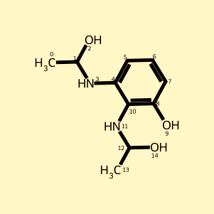 CC(O)Nc1cccc(O)c1NC(C)O